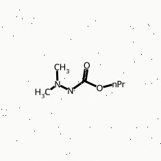 CCCOC(=O)[N]N(C)C